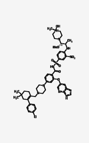 CO[C@@H](C(C)Nc1ccc(S(=O)(=O)NC(=O)c2ccc(N3CCN(CC4=C(c5ccc(Cl)cc5)CC(C)(C)CC4)CC3)cc2Oc2cnc3[nH]ccc3c2)cc1[N+](=O)[O-])N1CC[PH](C)(O)CC1